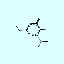 CC(C)c1oc(CCl)cc(=O)c1O